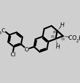 O=C(O)[C@H]1[C@@H]2CCc3cc(Oc4ccc(C(F)(F)F)cc4Cl)ccc3[C@@H]21